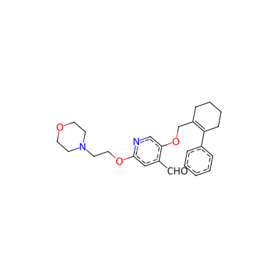 O=Cc1cc(OCCN2CCOCC2)ncc1OCC1=C(c2ccccc2)CCCC1